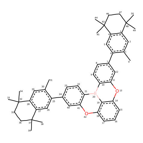 Cc1cc2c(cc1-c1ccc3c(c1)Oc1cccc4c1B3c1ccc(-c3cc5c(cc3C)C(C)(C)CCC5(C)C)cc1O4)C(C)(C)CCC2(C)C